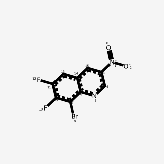 O=[N+]([O-])c1cnc2c(Br)c(F)c(F)cc2c1